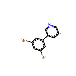 Brc1cc(Br)cc(-c2c[c]cnc2)c1